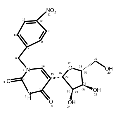 O=c1[nH]c(=O)n(Cc2ccc([N+](=O)[O-])cc2)cc1[C@@H]1O[C@H](CO)[C@@H](O)[C@H]1O